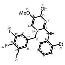 CCc1ccccc1NC1=NC(O)C(OC)=CN1Cc1cc(F)c(F)c(F)c1